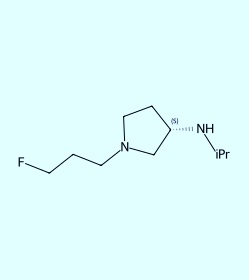 CC(C)N[C@H]1CCN(CCCF)C1